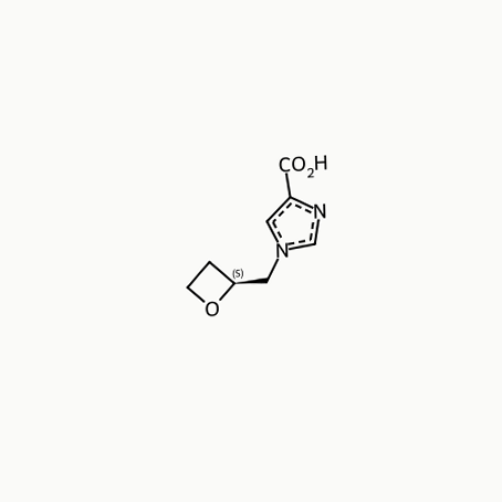 O=C(O)c1cn(C[C@@H]2CCO2)cn1